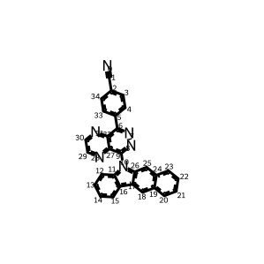 N#Cc1ccc(-c2nnc(-n3c4ccccc4c4cc5ccccc5cc43)c3nccnc23)cc1